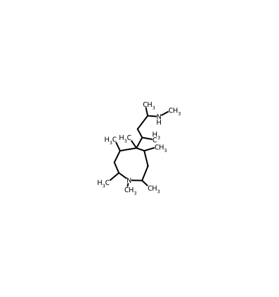 CNC(C)CC(C)C1(C)C(C)CC(C)N(C)C(C)CC1C